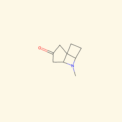 CN1C2CCC23CC(=O)CC13